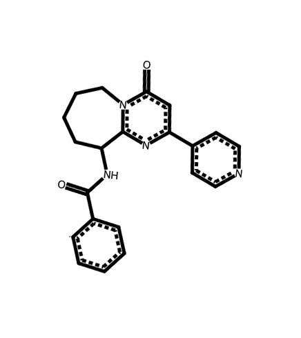 O=C(NC1CCCCn2c1nc(-c1ccncc1)cc2=O)c1[c]cccc1